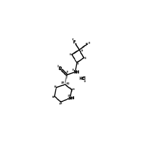 Cl.O=C(NC1CC(F)(F)C1)[C@H]1CCCNC1